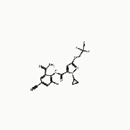 Cc1cc(C#N)cc(C(N)=O)c1NC(=O)c1cc(OCC(F)(F)F)nn1C1CC1